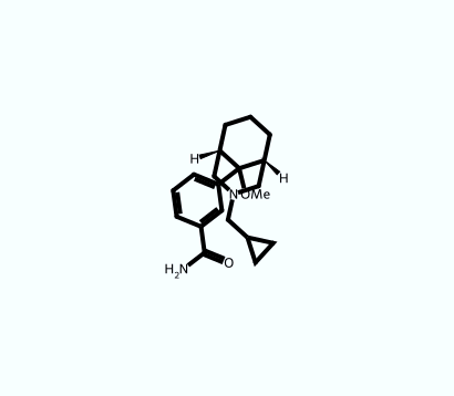 COC1(c2cccc(C(N)=O)c2)[C@@H]2CCC[C@H]1CN(CC1CC1)C2